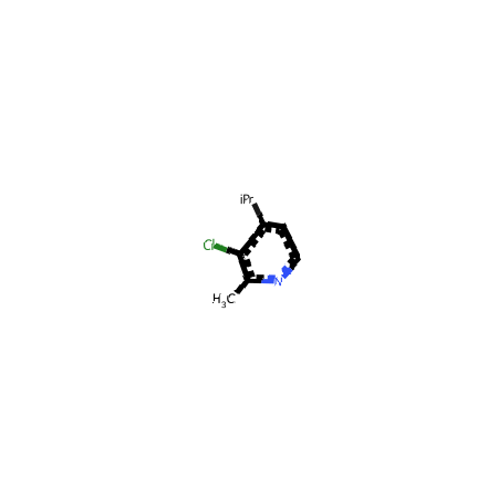 [CH2]C(C)c1ccnc(C)c1Cl